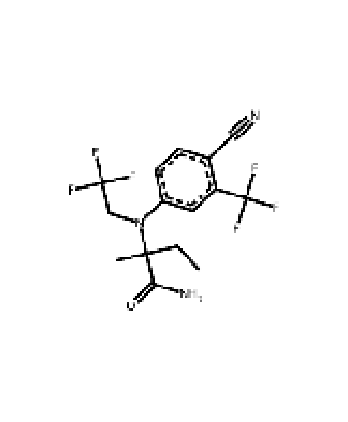 CCC(C)(C(N)=O)N(CC(F)(F)F)c1ccc(C#N)c(C(F)(F)F)c1